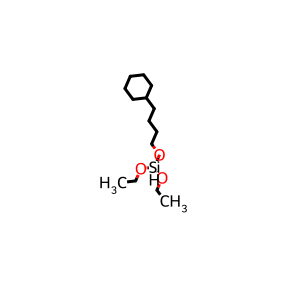 CCO[SiH](OCC)OCCCCC1CCCCC1